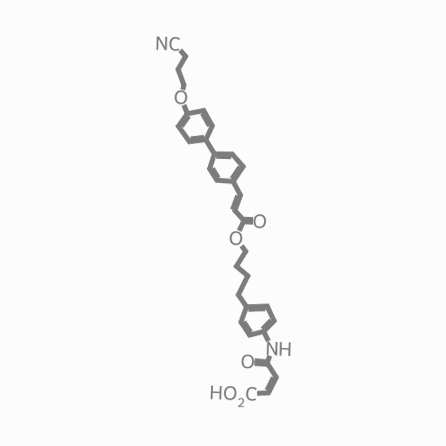 N#CCCCOc1ccc(-c2ccc(/C=C/C(=O)OCCCCc3ccc(NC(=O)/C=C\C(=O)O)cc3)cc2)cc1